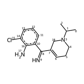 CC(C)N1CCC=C(C(=N)c2cccc(Cl)c2N)C1